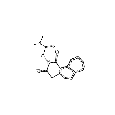 CN(C)C(=S)ON1C(=O)Cc2ccc3ccccc3c2C1=O